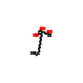 CCC(O)C=CC1C(O)CC(O)C1CC=CCCCCCCC(=O)O